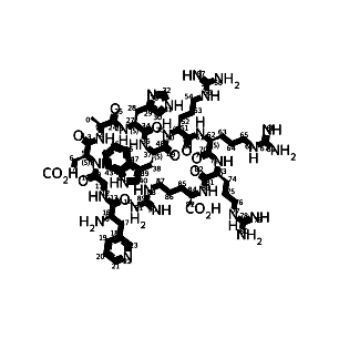 C[C@H](NC(=O)[C@H](CC(=O)O)NC(=O)CNC(=O)[C@@H](N)Cc1cccnc1)C(=O)N[C@@H](Cc1c[nH]cn1)C(=O)N[C@@H](Cc1c[nH]c2ccccc12)C(=O)N[C@@H](CCCNC(=N)N)C(=O)N[C@@H](CCCNC(=N)N)C(=O)N[C@@H](CCCNC(=N)N)C(=O)N[C@@H](CCCNC(=N)N)C(=O)O